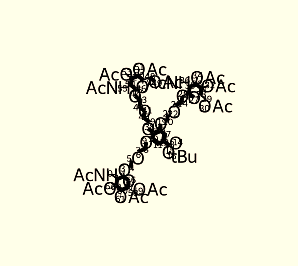 CC(=O)N[C@H]1[C@H](OCCOCCOc2cc(C(=O)OC(C)(C)C)cc(OCCOCCO[C@@H]3O[C@H](COC(C)=O)[C@H](OC(C)=O)[C@H](OC(C)=O)[C@H]3NC(C)=O)c2OCCOCCO[C@@H]2O[C@H](COC(C)=O)[C@H](OC(C)=O)[C@H](OC(C)=O)[C@H]2NC(C)=O)O[C@H](COC(C)=O)[C@H](OC(C)=O)[C@@H]1OC(C)=O